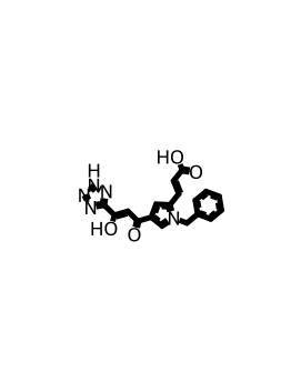 O=C(O)C=Cc1cc(C(=O)C=C(O)c2nn[nH]n2)cn1Cc1ccccc1